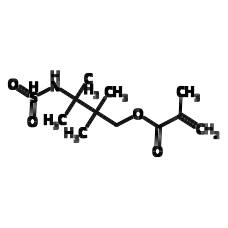 C=C(C)C(=O)OCC(C)(C)C(C)(C)N[SH](=O)=O